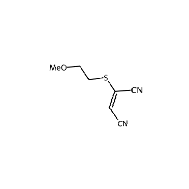 COCCSC(C#N)=CC#N